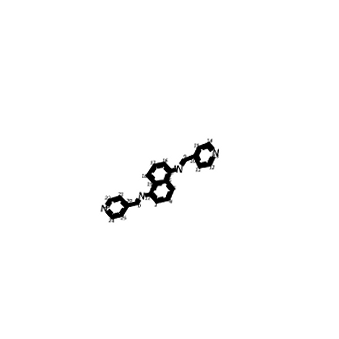 C(=N\c1cccc2c(/N=C/c3ccncc3)cccc12)/c1ccncc1